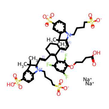 CC1(C)C(/C=C/C2=C(c3c(F)cc(F)c(OCCCC(=O)O)c3F)C(=C/C=C3/N(CCCCS(=O)(=O)[O-])c4ccc(S(=O)(=O)[O-])cc4C3(C)C)/CCC2)=[N+](CCCCS(=O)(=O)[O-])c2ccc(S(=O)(=O)O)cc21.[Na+].[Na+]